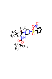 C[C@@H]1CN(S(=O)(=O)c2ccccc2[N+](=O)[O-])CCN1C(=O)[C@H](CC(C)(C)C)NC(=O)OC(C)(C)C